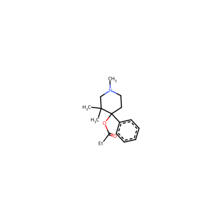 CCC(=O)OC1(c2ccccc2)CCN(C)CC1(C)C